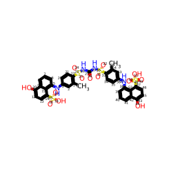 Cc1cc(Nc2cccc3c(O)ccc(S(=O)(=O)O)c23)ccc1S(=O)(=O)NC(=O)NS(=O)(=O)c1ccc(Nc2cccc3c(O)ccc(S(=O)(=O)O)c23)cc1C